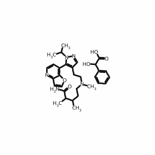 CC(CCN(C)CCc1cnn(C(C)C)c1-c1ccnc2ccoc12)C(C)C(N)=O.O=C(O)C(O)c1ccccc1